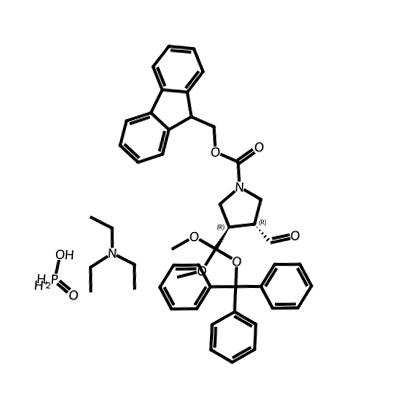 CCN(CC)CC.COC(OC)(OC(c1ccccc1)(c1ccccc1)c1ccccc1)[C@H]1CN(C(=O)OCC2c3ccccc3-c3ccccc32)C[C@@H]1C=O.O=[PH2]O.[H+]